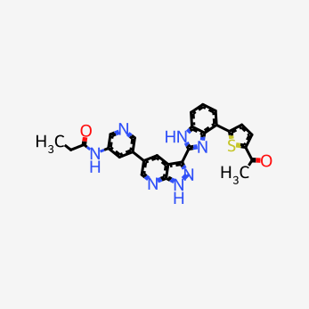 CCC(=O)Nc1cncc(-c2cnc3[nH]nc(-c4nc5c(-c6ccc(C(C)=O)s6)cccc5[nH]4)c3c2)c1